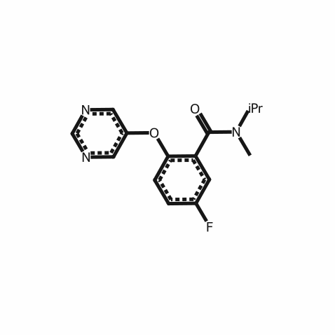 CC(C)N(C)C(=O)c1cc(F)ccc1Oc1cncnc1